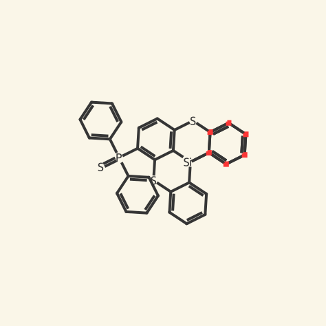 S=P(c1ccccc1)(c1ccccc1)c1ccc2c3c1Sc1ccccc1[Si]3(c1ccccc1)c1ccccc1S2